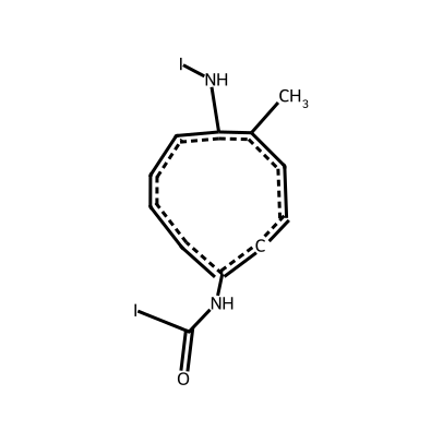 Cc1cccc(NC(=O)I)ccccc1NI